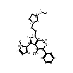 CO[C@@H]1CCN(CCn2nc(-c3cccn3C)c3c(Cl)c(-c4ccccc4)nnc32)C1